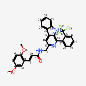 COc1ccc(OC)c(/C=C/C(=O)NCc2cc3c([nH]c4ccccc43)c(-c3ccccc3C(F)(F)F)n2)c1